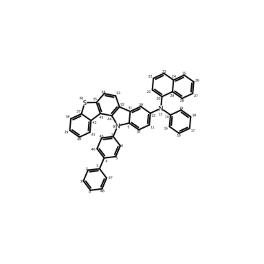 c1ccc(-c2ccc(-n3c4ccc(N(c5ccccc5)c5cccc6ccccc56)cc4c4ccc5sc6ccccc6c5c43)cc2)cc1